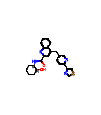 O=C(N[C@H]1CCCC[C@@H]1O)c1cc(Cc2ccc(-c3cscn3)nc2)c2ccccc2n1